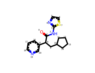 O=C(Nc1nccs1)C(CC1CCCC1)c1cccnc1